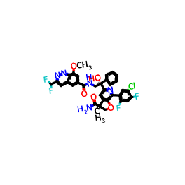 COc1cc(C(=O)NC[C@@](O)(c2ccccc2)c2cc3c(c(-c4cc(Cl)c(F)cc4F)n2)OC[C@]3(C)C(N)=O)cc2cc(C(F)F)nnc12